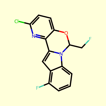 FCC1Oc2ccc(Cl)nc2-c2cc3c(F)cccc3n21